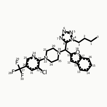 CCCCn1nnnc1C(c1cc2ccccc2o1)N1CCN(c2ncc(C(F)(F)F)cc2Cl)CC1